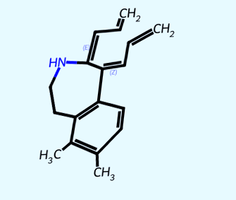 C=C/C=C1\C(=C/C=C)NCCc2c1ccc(C)c2C